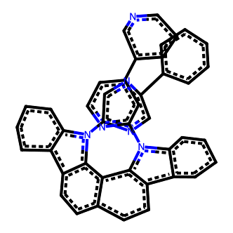 c1ccc(-c2cnc(-n3c4ccccc4c4ccc5ccc6c7ccccc7n(-c7cc(-c8cccnc8)ccn7)c6c5c43)cn2)cc1